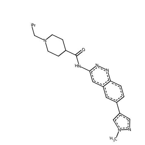 CC(C)CN1CCC(C(=O)Nc2cc3cc(-c4cnn(C)c4)ccc3nn2)CC1